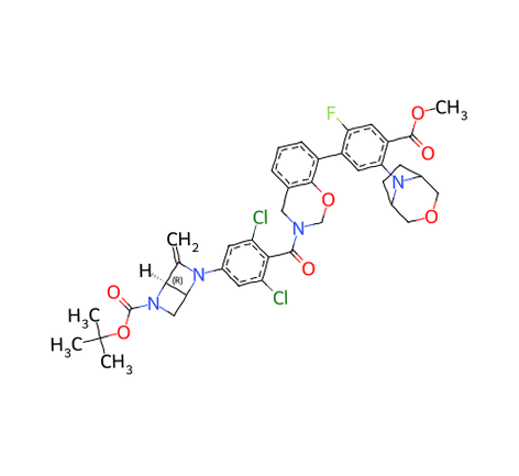 C=C1[C@H]2C(CN2C(=O)OC(C)(C)C)N1c1cc(Cl)c(C(=O)N2COc3c(cccc3-c3cc(N4C5CCC4COC5)c(C(=O)OC)cc3F)C2)c(Cl)c1